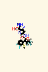 CSc1c([C@H]2[C@H](C(=O)Nc3ccc([C@H](O)CN)nc3)O[C@@](C)(C(F)(F)F)[C@H]2C)ccc(F)c1F